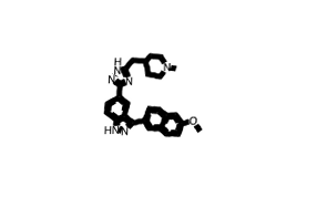 COc1ccc2cc(-c3n[nH]c4ccc(-c5n[nH]c(CC6CCN(C)CC6)n5)cc34)ccc2c1